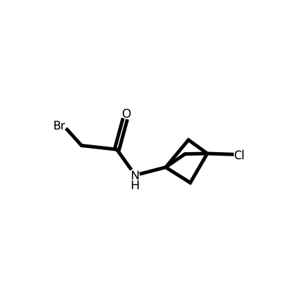 O=C(CBr)NC12CC(Cl)(C1)C2